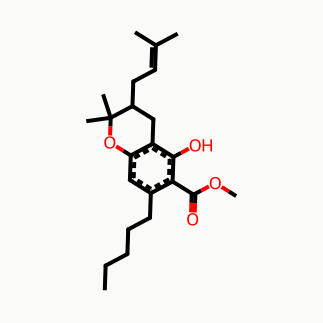 CCCCCc1cc2c(c(O)c1C(=O)OC)CC(CC=C(C)C)C(C)(C)O2